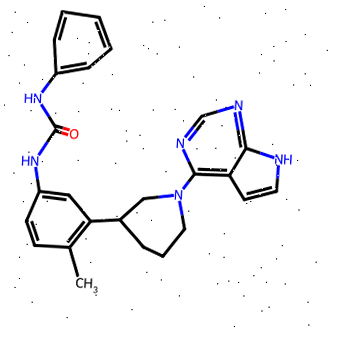 Cc1ccc(NC(=O)Nc2ccccc2)cc1C1CCCN(c2ncnc3[nH]ccc23)C1